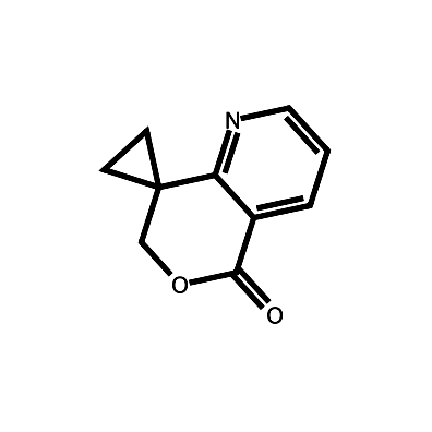 O=C1OCC2(CC2)c2ncccc21